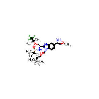 COC[C@@H](N)c1ccc2c(c1)nc([C@H](COC(C)(C)C(F)(F)F)N[S@+]([O-])C(C)(C)C)n2COCC[Si](C)(C)C